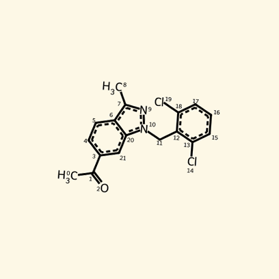 CC(=O)c1ccc2c(C)nn(Cc3c(Cl)cccc3Cl)c2c1